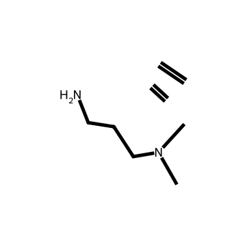 C=C.C=C.CN(C)CCCN